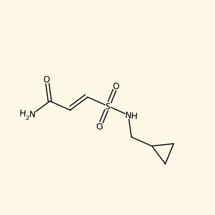 NC(=O)C=CS(=O)(=O)NCC1CC1